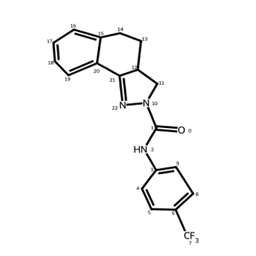 O=C(Nc1ccc(C(F)(F)F)cc1)N1CC2CCc3ccccc3C2=N1